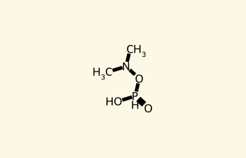 CN(C)O[PH](=O)O